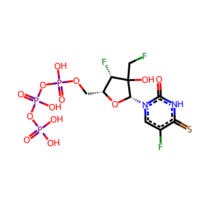 O=c1[nH]c(=S)c(F)cn1[C@@H]1O[C@H](COP(=O)(O)OP(=O)(O)OP(=O)(O)O)[C@H](F)C1(O)CF